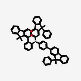 CC1(C)c2ccccc2-c2cccc(-c3ccccc3N(c3ccc(-c4ccc5c(c4)C(C)(c4ccccc4)c4ccccc4-5)cc3)c3ccc4c(c3)C(C)(c3ccccc3)c3ccccc3-4)c21